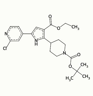 CCOC(=O)c1cc(-c2ccnc(Cl)c2)[nH]c1C1CCN(C(=O)OC(C)(C)C)CC1